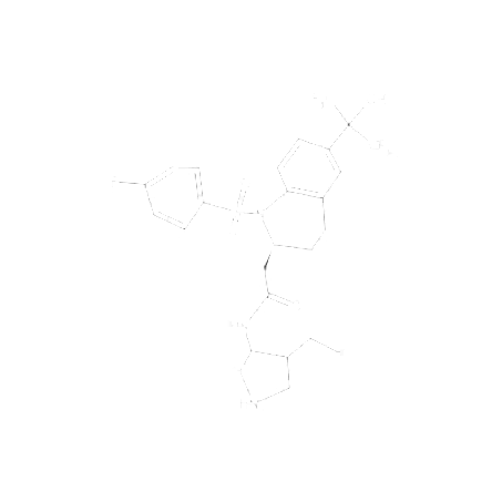 O=C(C[C@@H]1CCc2cc(C(O)(C(F)(F)F)C(F)(F)F)ccc2N1S(=O)(=O)c1ccc(F)cc1)NC1CNCC1CF